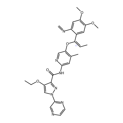 C=Nc1cc(OC)c(OC)cc1/C(=C\C)Oc1cnc(NC(=O)c2nn(-c3cnccn3)cc2OCC)cc1C